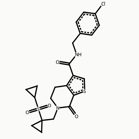 O=C(NCc1ccc(Cl)cc1)c1csc2c1CCN(CC1(S(=O)(=O)C3CC3)CC1)C2=O